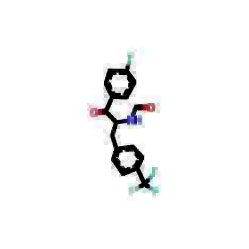 O=CNC(Cc1ccc(C(F)(F)F)cc1)C(=O)c1ccc(F)cc1